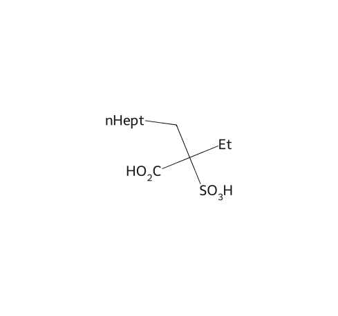 CCCCCCCCC(CC)(C(=O)O)S(=O)(=O)O